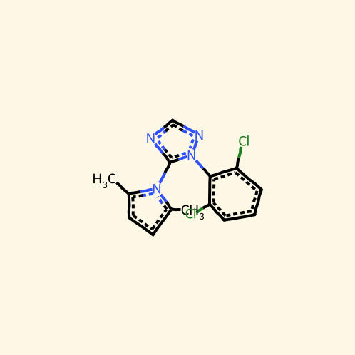 Cc1ccc(C)n1-c1ncnn1-c1c(Cl)cccc1Cl